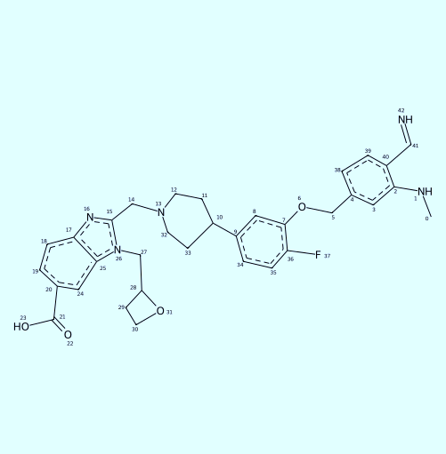 CNc1cc(COc2cc(C3CCN(Cc4nc5ccc(C(=O)O)cc5n4CC4CCO4)CC3)ccc2F)ccc1C=N